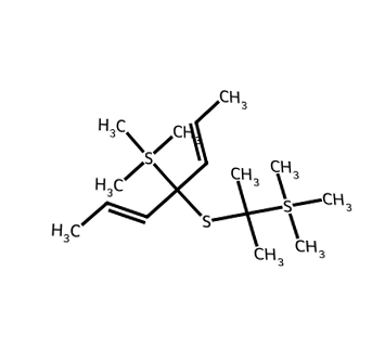 CC=CC(C=CC)(SC(C)(C)S(C)(C)C)S(C)(C)C